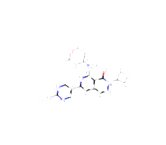 Nc1ncc(-c2cc3ccn(C4COC4)c(=O)c3c(NC3CCOCC3)n2)cn1